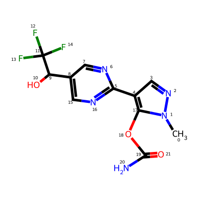 Cn1ncc(-c2ncc(C(O)C(F)(F)F)cn2)c1OC(N)=O